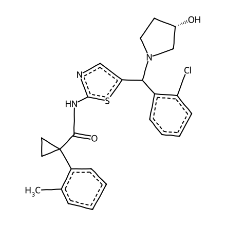 Cc1ccccc1C1(C(=O)Nc2ncc(C(c3ccccc3Cl)N3CC[C@H](O)C3)s2)CC1